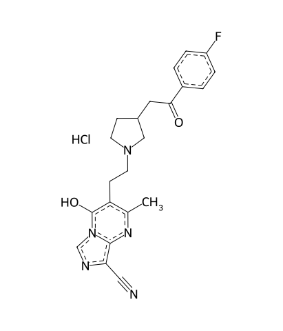 Cc1nc2c(C#N)ncn2c(O)c1CCN1CCC(CC(=O)c2ccc(F)cc2)C1.Cl